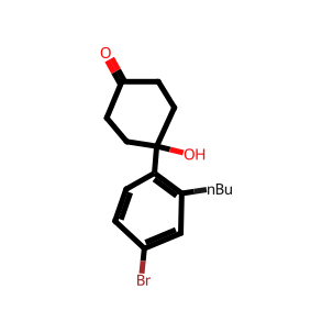 CCCCc1cc(Br)ccc1C1(O)CCC(=O)CC1